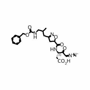 CC(CNC(=O)OCc1ccccc1)CC1=NOC(C(=O)N[C@@H](CC(=O)O)C(=O)C=[N+]=[N-])C1